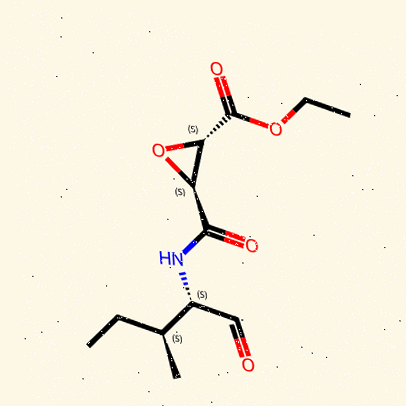 CCOC(=O)[C@H]1O[C@@H]1C(=O)N[C@H]([C]=O)[C@@H](C)CC